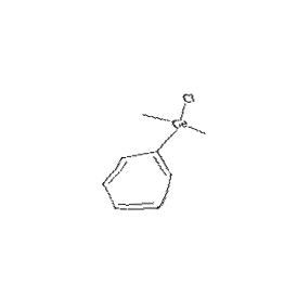 [CH3][Ge]([CH3])([Cl])[c]1ccccc1